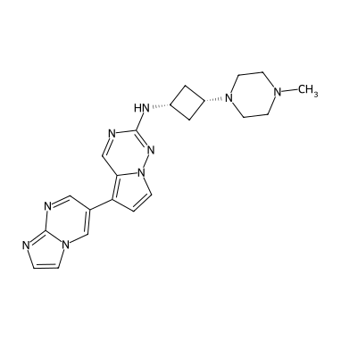 CN1CCN([C@H]2C[C@@H](Nc3ncc4c(-c5cnc6nccn6c5)ccn4n3)C2)CC1